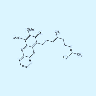 COc1c2nc3ccccc3oc-2c(CC/C=C(\C)CCC=C(C)C)c(=O)c1OC